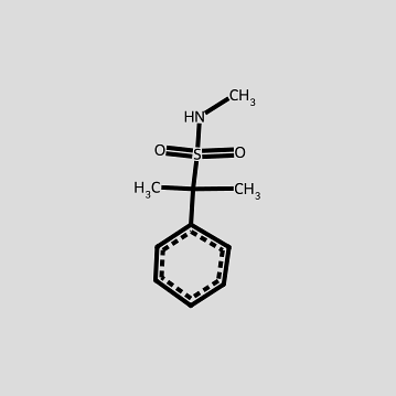 CNS(=O)(=O)C(C)(C)c1ccccc1